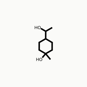 CC(O)C1CCC(C)(O)CC1